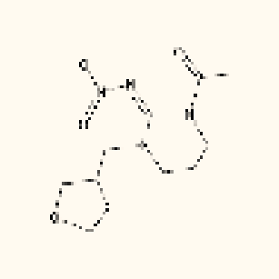 CC(=O)N1CCCN(CC2CCOC2)C1=N[N+](=O)[O-]